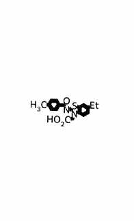 CCc1ccc2c(c1)sc(=NC(=O)c1ccc(C)cc1)n2CC(=O)O